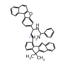 CC1(C)c2cc3ccccc3cc2-c2c(/C=C/C(NC(N)c3ccccc3)c3ccc4c(c3)oc3ccc5ccccc5c34)cccc21